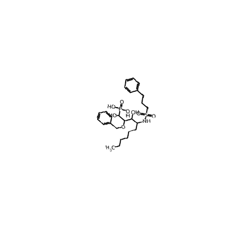 CCCCCCC(NS(=O)(=O)CCCc1ccccc1)C(O)C(OCc1ccccc1)C(O)P(=O)(O)O